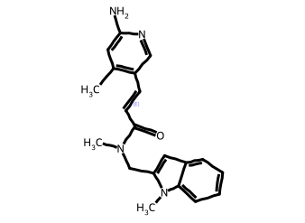 Cc1cc(N)ncc1/C=C/C(=O)N(C)Cc1cc2ccccc2n1C